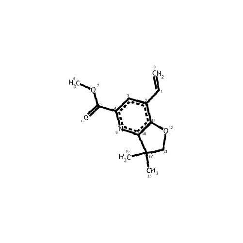 C=Cc1cc(C(=O)OC)nc2c1OCC2(C)C